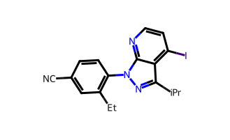 CCc1cc(C#N)ccc1-n1nc(C(C)C)c2c(I)ccnc21